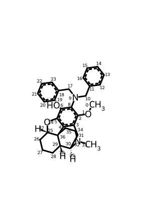 COc1c2c3c(c(O)c1N(Cc1ccccc1)Cc1ccccc1)O[C@H]1CCC[C@H]4[C@@H](C2)N(C)CC[C@]314